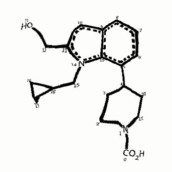 O=C(O)N1CCC(c2cccc3cc(CO)n(CC4CC4)c23)CC1